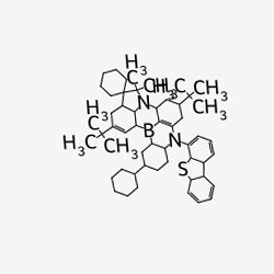 CC(C)(C)C1=CC2B3C4=C(CC(C(C)(C)C)CC4N4C2C(C1)C1(CCCCC1)C4(C)C)N(C1=CC=CC2C1SC1C=CC=CC12)C1CCC(C2CCCCC2)CC31